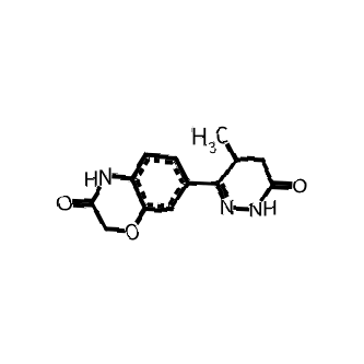 CC1CC(=O)NN=C1c1ccc2c(c1)OCC(=O)N2